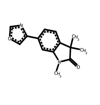 CN1C(=O)C(C)(C)c2ccc(-c3cocn3)cc21